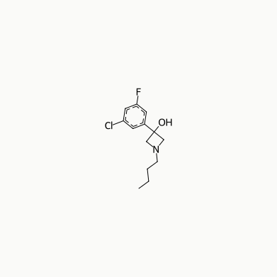 CCCCN1CC(O)(c2cc(F)cc(Cl)c2)C1